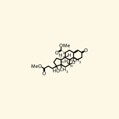 COC(=O)CC[C@]1(O)CC[C@H]2[C@@H]3[C@H](C(=O)OC)CC4=CC(=O)CC[C@]4(C)[C@]34O[C@@H]4C[C@@]21C